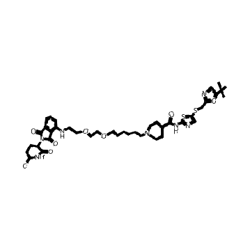 CC(C)(C)c1cnc(CSc2cnc(NC(=O)C3CCN(CCCCCCOCCOCCNc4cccc5c4C(=O)N(C4CCC(=O)NC4=O)C5=O)CC3)s2)o1